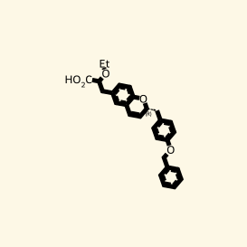 CCOC(Cc1ccc2c(c1)C=C[C@@H](Cc1ccc(OCc3ccccc3)cc1)O2)C(=O)O